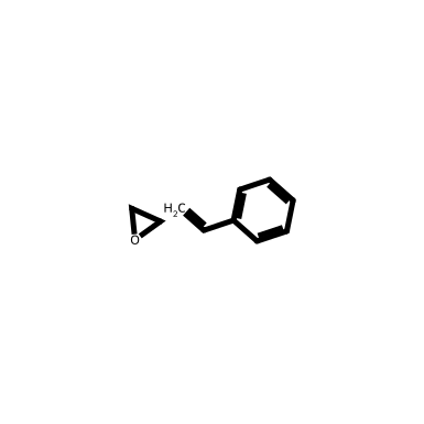 C1CO1.C=Cc1ccccc1